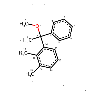 COC(C)(c1ccccc1)c1cccc(C)c1C